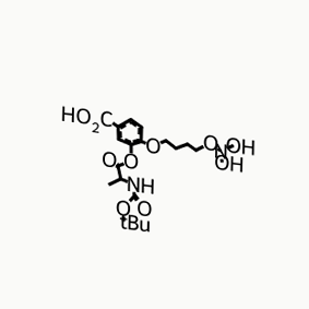 CC(NC(=O)OC(C)(C)C)C(=O)Oc1cc(C(=O)O)ccc1OCCCCON(O)O